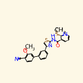 COc1cc(-c2cccc(-c3csc(NC(=O)c4cccnc4SC)n3)c2)ccc1C#N